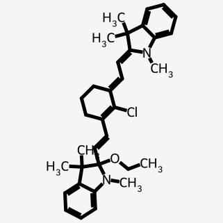 CCOC1(/C=C/C2=C(Cl)C(=C/C=C3\N(C)c4ccccc4C3(C)C)/CCC2)N(C)c2ccccc2C1(C)C